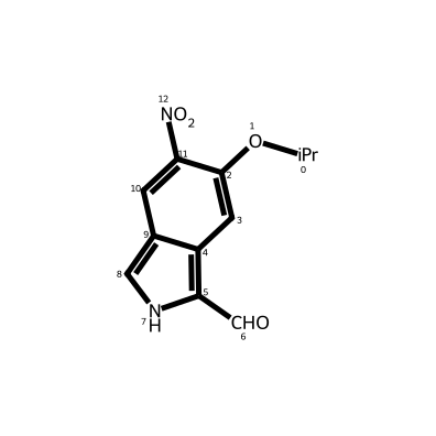 CC(C)Oc1cc2c(C=O)[nH]cc2cc1[N+](=O)[O-]